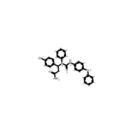 CCc1ccc(C(CC(N)=O)N(C(=O)Nc2ccc(Oc3ccccc3)cc2)c2ccccc2)cc1